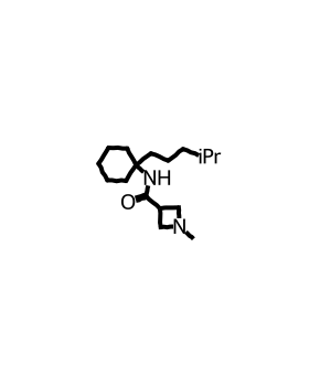 CC(C)CCCC1(NC(=O)C2CN(C)C2)CCCCC1